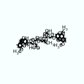 CC[C@@H]1Cc2ccc(OC)c3c2[C@@]2(C)[C@@H](O3)C(OC(=O)CN(CC(=O)O)C(=O)OC(C)(CC)CCOC(C)C(=O)N(CC(=O)O)CC(=O)OC3=CC[C@@]4(O)C5CCC[C@@]46c4c(ccc(OC)c4O[C@@H]36)C5)=CC[C@@]12O